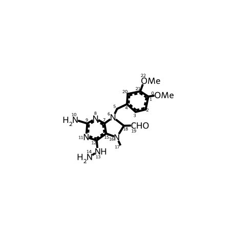 COc1ccc(CN2c3nc(N)nc(NN)c3N(C)C2C=O)cc1OC